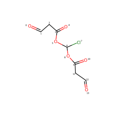 O=CCC(=O)OC(Cl)OC(=O)CC=O